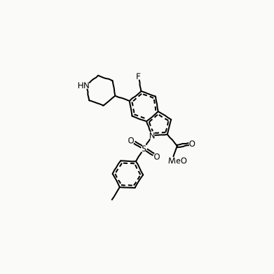 COC(=O)c1cc2cc(F)c(C3CCNCC3)cc2n1S(=O)(=O)c1ccc(C)cc1